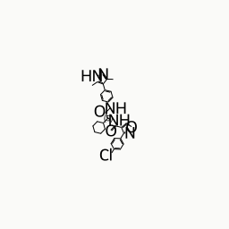 Cc1n[nH]c(C)c1-c1ccc(NC(=O)[C@@H](NC(=O)c2conc2-c2ccc(Cl)cc2)C2CCCCC2)cc1